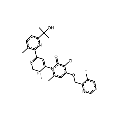 Cc1ccc(C(C)(C)O)nc1C1=NC[C@@H](C)C(n2c(C)cc(OCc3ncncc3F)c(Cl)c2=O)=C1